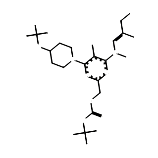 CC/C(C)=C/N(C)c1nc(CNC(=O)OC(C)(C)C)nc(N2CCC(OC(F)(F)F)CC2)c1C